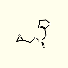 O=[PH](OCC1CO1)OC1=NCCS1